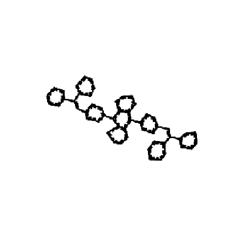 C(=C(c1ccccc1)c1ccccc1)c1ccc(-c2c3ccccc3c(-c3ccc(C=C(c4ccccc4)c4ccccc4)cc3)c3ccccc23)cc1